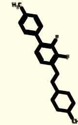 Cc1ccc(-c2ccc(CCC3CCC(C)CC3)c(F)c2F)cc1